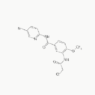 O=C(CCl)Nc1cc(C(=O)Nc2ccc(Br)cn2)ccc1OC(F)(F)F